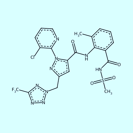 Cc1cccc(C(=O)NS(C)(=O)=O)c1NC(=O)c1cc(Cn2nnc(C(F)(F)F)n2)nn1-c1ncccc1Cl